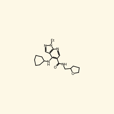 CCn1ncc2c(NC3CCCCC3)c(C(=O)NCC3CCCO3)cnc21